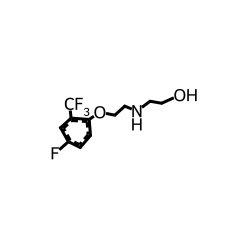 OCCNCCOc1ccc(F)cc1C(F)(F)F